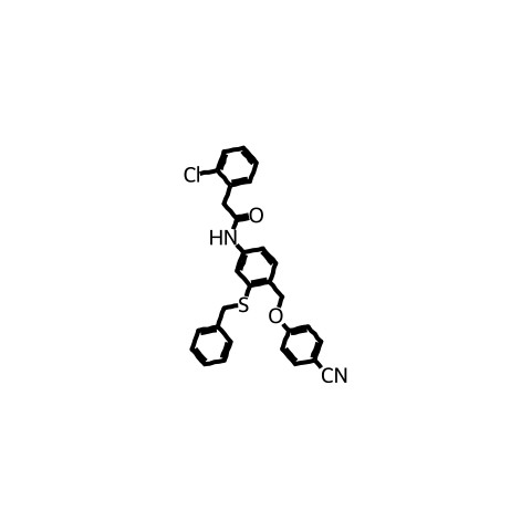 N#Cc1ccc(OCc2ccc(NC(=O)Cc3ccccc3Cl)cc2SCc2ccccc2)cc1